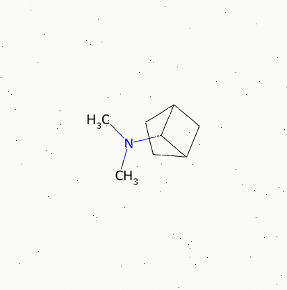 CN(C)C1C2CCC1C2